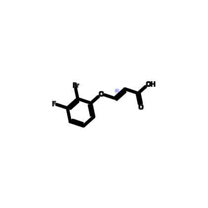 O=C(O)/C=C/Oc1cccc(F)c1Br